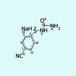 N#Cc1ccc(SNC(N)=O)cc1.[NaH]